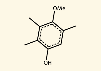 COc1c(C)cc(O)c(C)c1C